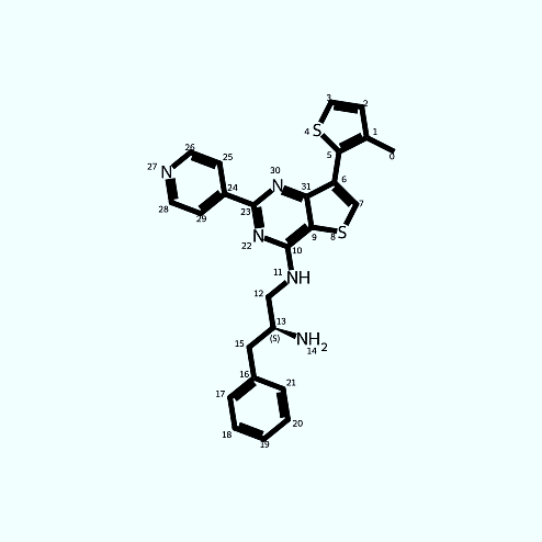 Cc1ccsc1-c1csc2c(NC[C@@H](N)Cc3ccccc3)nc(-c3ccncc3)nc12